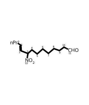 CCC/C=C/C(CCCCCCCC=O)[N+](=O)[O-]